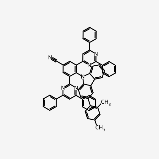 Cc1ccc(-c2ccc3c(c2)c2ccccc2n3-c2c(-c3cc(-c4ccccc4)nc(-c4ccccc4)n3)cc(C#N)cc2-c2nc(-c3ccccc3)cc(-c3ccccc3)n2)c(C)c1